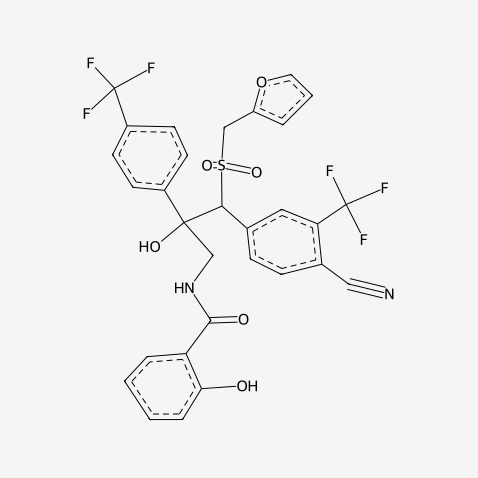 N#Cc1ccc(C(C(O)(CNC(=O)c2ccccc2O)c2ccc(C(F)(F)F)cc2)S(=O)(=O)Cc2ccco2)cc1C(F)(F)F